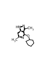 Cc1cc2[nH]nc(C)c2c(OC2CCCCC2)n1